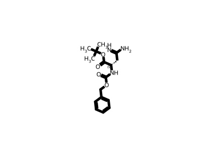 CC(C)(C)OC(=O)[C@H](CC(=N)N)NC(=O)OCc1ccccc1